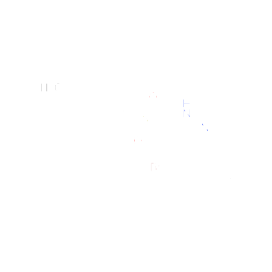 Cc1ccc(S(=O)(=O)c2[nH]nc(C3CC3)c2Br)cc1